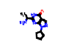 CC(N)c1nc2c(cnn2C2CCCC2)c(=O)[nH]1